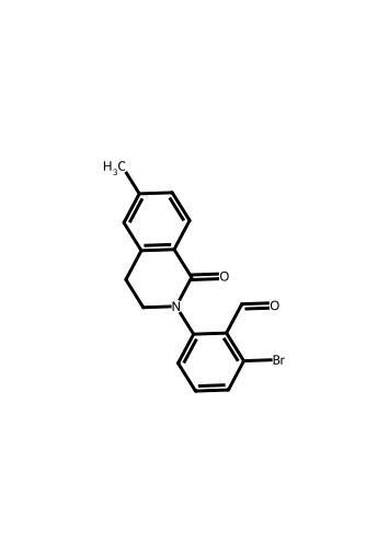 Cc1ccc2c(c1)CCN(c1cccc(Br)c1C=O)C2=O